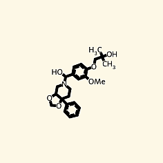 COc1cc(C(O)N2CCC3(c4ccccc4)OCOC3C2)ccc1OCC(C)(C)O